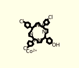 Oc1ccc(-c2c3nc(c(-c4ccc(Cl)cc4)c4ccc([nH]4)c(-c4ccc(Cl)cc4)c4nc(c(-c5ccc(Cl)cc5)c5ccc2[nH]5)C=C4)C=C3)cc1.[Co+2]